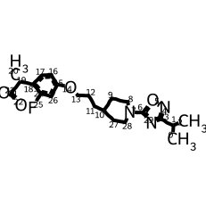 CC(C)c1noc(N2CCC(CCCOc3ccc(C(C)C(=O)O)c(F)c3)CC2)n1